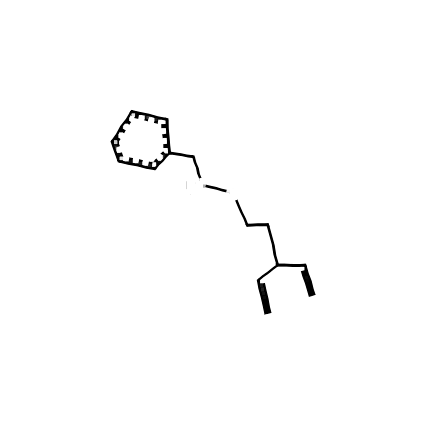 C=CC(C=C)CCO[SiH2]Cc1ccccc1